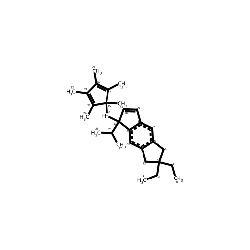 CCC1(CC)Cc2cc3c(cc2C1)[C]([Hf][C]1(C)C(C)=C(C)C(C)=C1C)(C(C)C)C=C3